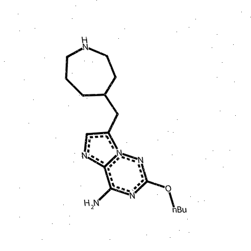 CCCCOc1nc(N)c2ncc(CC3CCCNCC3)n2n1